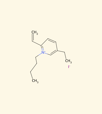 C=Cc1ccc(CC)c[n+]1CCCC.[I-]